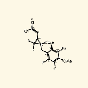 COc1c(F)c(F)c(C[C@@]2(C(=O)O)C(C=C(Cl)Cl)C2(C)C)c(F)c1F